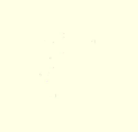 C/C=C/C(=O)OC1CCCCC1OC(=O)/C=C/C